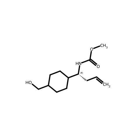 C=CC[C@@H](NC(=O)OC)C1CCC(CO)CC1